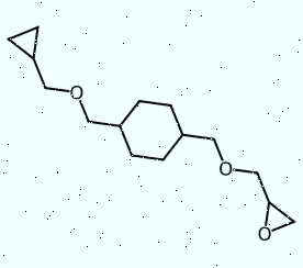 C1CC1COCC1CCC(COCC2CO2)CC1